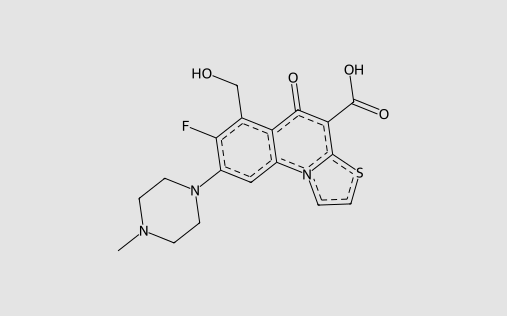 CN1CCN(c2cc3c(c(CO)c2F)c(=O)c(C(=O)O)c2sccn23)CC1